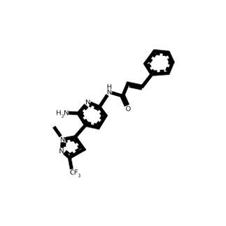 Cn1nc(C(F)(F)F)cc1-c1ccc(NC(=O)/C=C/c2ccccc2)nc1N